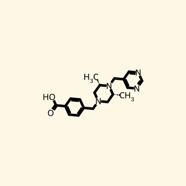 C[C@@H]1CN(Cc2ccc(C(=O)O)cc2)C[C@H](C)N1Cc1cncnc1